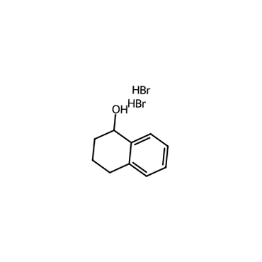 Br.Br.OC1CCCc2ccccc21